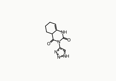 O=C1NC2=CCCCC2C(=O)N1c1c[nH]nn1